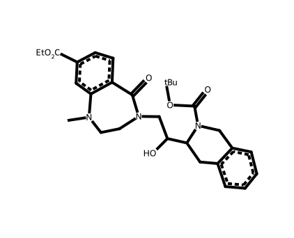 CCOC(=O)c1ccc2c(c1)N(C)CCN(CC(O)C1Cc3ccccc3CN1C(=O)OC(C)(C)C)C2=O